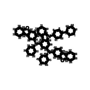 c1ccc(-c2ccc(-n3c4ccccc4c4c(N(c5ccccc5)c5ccc6oc7ccccc7c6c5)cc(N(c5ccccc5)c5ccc6c(c5)oc5ccccc56)cc43)cc2)cc1